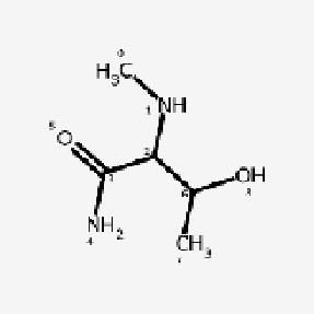 CNC(C(N)=O)C(C)O